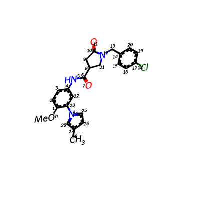 COc1ccc(NC(=O)C2CC(=O)N(Cc3ccc(Cl)cc3)C2)cc1-n1ccc(C)c1